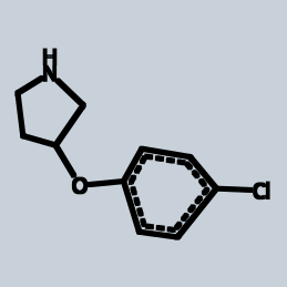 Clc1ccc(OC2CCNC2)cc1